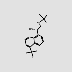 CC(C)(C)NC[C@@H](O)c1cccc2c(C(F)(F)F)ccnc12